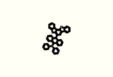 c1ccc(N(c2ccccc2)c2c3ccccc3c(-c3cc4c5ccccc5oc4c4c3sc3ccccc34)c3ccccc23)cc1